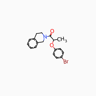 CC(Oc1ccc(Br)cc1)C(=O)N1CCc2ccccc2C1